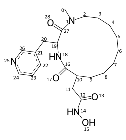 CN1CCCCCCCCC(CC(=O)NO)C(=O)NC(Cc2cccnc2)C1=O